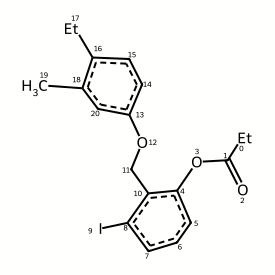 CCC(=O)Oc1cccc(I)c1COc1ccc(CC)c(C)c1